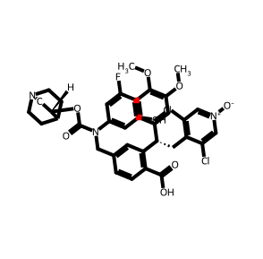 COc1ccc([C@H](Cc2c(Cl)c[n+]([O-])cc2Cl)c2cc(CN(C(=O)O[C@H]3CN4CCC3CC4)c3cc(O)cc(F)c3)ccc2C(=O)O)cc1OC